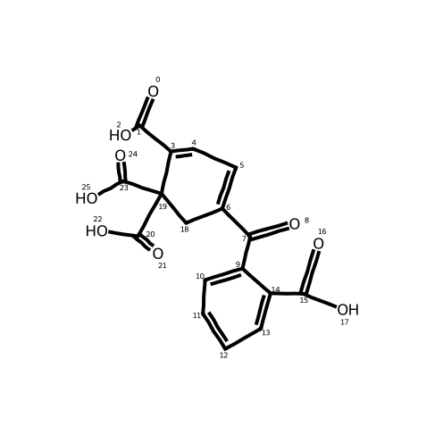 O=C(O)C1=CC=C(C(=O)c2ccccc2C(=O)O)CC1(C(=O)O)C(=O)O